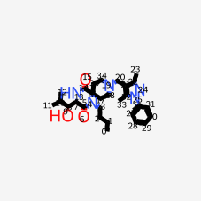 CCCCN1C(=O)[C@@H]([C@@H](O)C(C)C)NC(=O)C12CCN(Cc1c(C)nn(-c3ccccc3)c1C)CC2